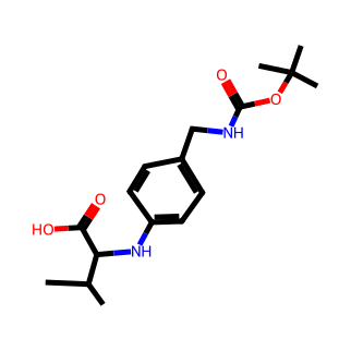 CC(C)C(Nc1ccc(CNC(=O)OC(C)(C)C)cc1)C(=O)O